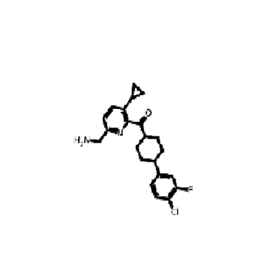 NCc1ccc(C2CC2)c(C(=O)C2CCC(c3ccc(Cl)c(F)c3)CC2)n1